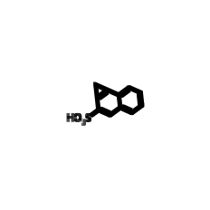 O=S(=O)(O)c1cc2ccccc2c2c1C2